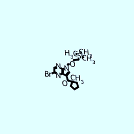 CC1(C(=O)c2cn(COCC[Si](C)(C)C)c3ncc(Br)nc23)CCCC1